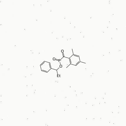 CCC(O[P](=O)C(=O)c1c(C)cc(C)cc1C)c1ccccc1